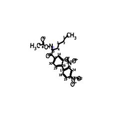 CCCCC/C(=N/OC(C)=O)C(=O)c1ccc(-c2ccc([N+](=O)[O-])cc2[N+](=O)[O-])cc1